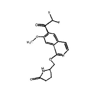 COc1cc2c(OCC3CCC(=O)N3)nccc2cc1C(=O)C(F)F